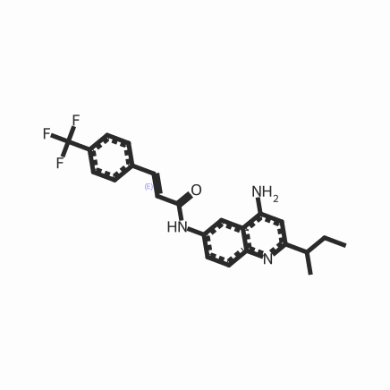 CCC(C)c1cc(N)c2cc(NC(=O)/C=C/c3ccc(C(F)(F)F)cc3)ccc2n1